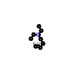 CC1(C)c2ccccc2-c2cccc(-c3cccc(-c4ccc(-c5cc(-c6cccc(-c7ccccc7)c6)nc(-c6cccc(-c7ccccc7)c6)n5)cc4)c3)c21